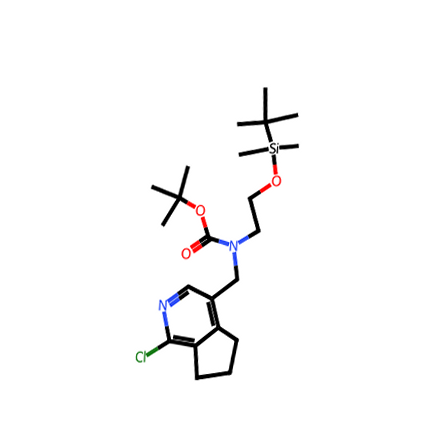 CC(C)(C)OC(=O)N(CCO[Si](C)(C)C(C)(C)C)Cc1cnc(Cl)c2c1CCC2